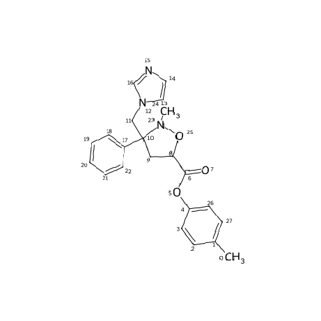 Cc1ccc(OC(=O)C2CC(Cn3ccnc3)(c3ccccc3)N(C)O2)cc1